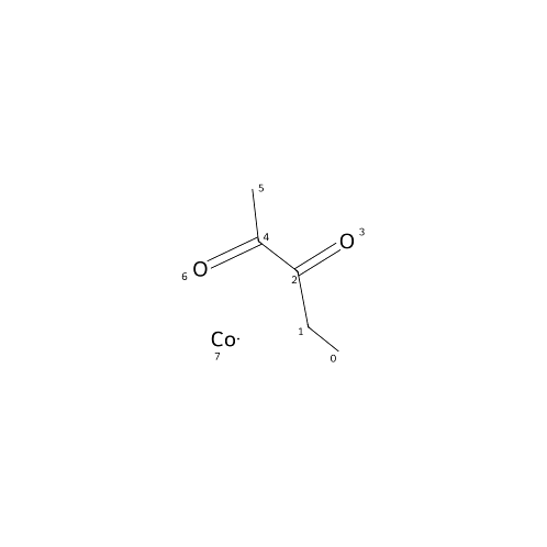 CCC(=O)C(C)=O.[Co]